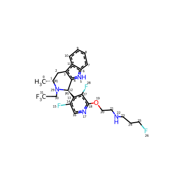 C[C@@H]1Cc2c([nH]c3ccccc23)[C@@H](c2c(F)cnc(OCCNCCCF)c2F)N1CC(F)(F)F